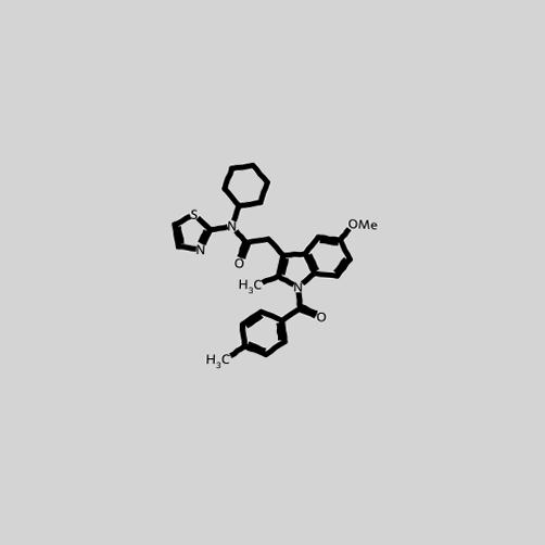 COc1ccc2c(c1)c(CC(=O)N(c1nccs1)C1CCCCC1)c(C)n2C(=O)c1ccc(C)cc1